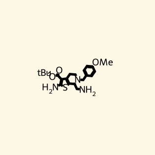 COc1ccc(CN2CCc3c(sc(N)c3C(=O)OC(C)(C)C)C2CN)cc1